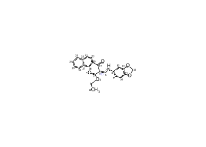 CCOC(=O)/C(=C/Nc1ccc2c(c1)OCO2)C(=O)c1ccc2ccccc2c1